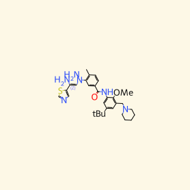 COc1c(CN2CCCCC2)cc(C(C)(C)C)cc1NC(=O)c1ccc(C)c(N(N)/C=C(\N)c2cncs2)c1